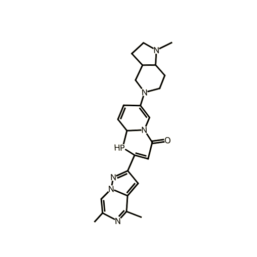 Cc1cn2nc(C3=CC(=O)N4C=C(N5CCC6C(CCN6C)C5)C=CC4P3)cc2c(C)n1